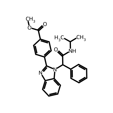 COC(=O)c1ccc(-c2nc3ccccc3n2C(C(=O)NC(C)C)c2ccccc2)cc1